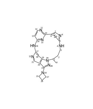 CC1CCNc2ncc(s2)-c2nccc(n2)Nc2cc3c(cn2)c(N2CCC2)nn31